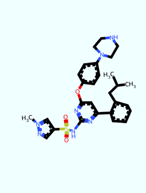 CC(C)Cc1ccccc1-c1cc(Oc2ccc(N3CCNCC3)cc2)nc(NS(=O)(=O)c2cnn(C)c2)n1